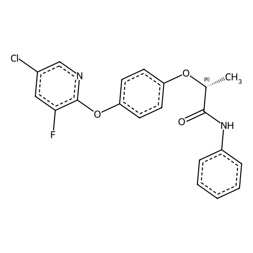 C[C@@H](Oc1ccc(Oc2ncc(Cl)cc2F)cc1)C(=O)Nc1ccccc1